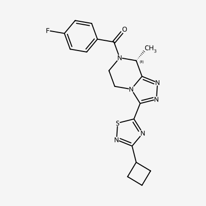 C[C@@H]1c2nnc(-c3nc(C4CCC4)ns3)n2CCN1C(=O)c1ccc(F)cc1